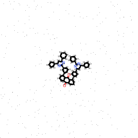 O=C1c2cccc(-c3ccc(-c4cc(-c5ccccc5)nc(-c5ccccc5)n4)cc3)c2C(=O)c2c1cccc2-c1cccc(-c2nc(-c3ccccc3)cc(-c3ccccc3)n2)c1